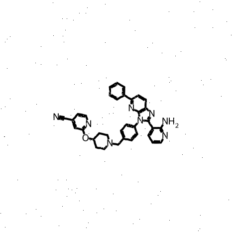 N#Cc1ccnc(OC2CCN(Cc3ccc(-n4c(-c5cccnc5N)nc5ccc(-c6ccccc6)nc54)cc3)CC2)c1